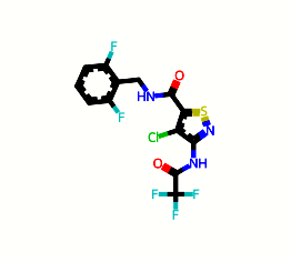 O=C(NCc1c(F)cccc1F)c1snc(NC(=O)C(F)(F)F)c1Cl